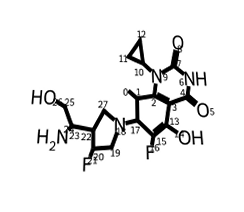 CC1c2c(c(=O)[nH]c(=O)n2C2CC2)C(O)=C(F)C1N1CC(F)C(C(N)CO)C1